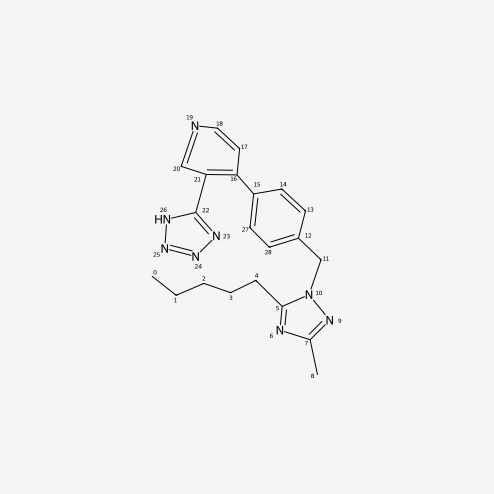 CCCCCc1nc(C)nn1Cc1ccc(-c2ccncc2-c2nnn[nH]2)cc1